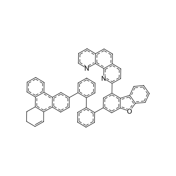 C1=Cc2c(c3ccccc3c3cc(-c4ccccc4-c4ccccc4-c4cc(-c5ccc6ccc7cccnc7c6n5)c5c(c4)oc4ccccc45)ccc23)CC1